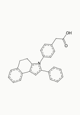 O=C(O)Cc1ccc(-n2c(-c3ccccc3)cc3c2CCc2ccccc2-3)cc1